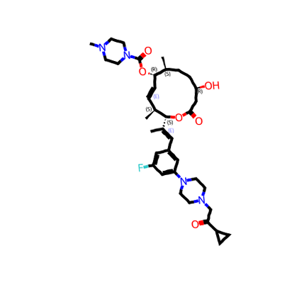 C/C(=C\c1cc(F)cc(N2CCN(CC(=O)C3CC3)CC2)c1)[C@H]1OC(=O)C[C@H](O)CC[C@H](C)[C@@H](OC(=O)N2CCN(C)CC2)/C=C/[C@@H]1C